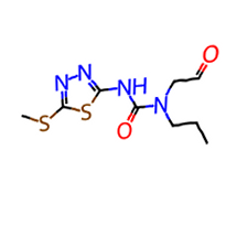 CCCN(CC=O)C(=O)Nc1nnc(SC)s1